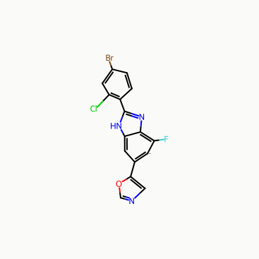 Fc1[c]c(-c2cnco2)cc2[nH]c(-c3ccc(Br)cc3Cl)nc12